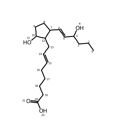 CCCC(O)C=CC1CCC(O)C1CC=CCCCCC(=O)O